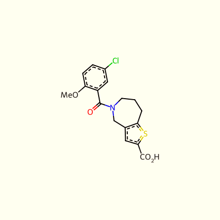 COc1ccc(Cl)cc1C(=O)N1CCCc2sc(C(=O)O)cc2C1